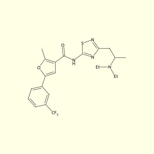 CCN(CC)C(C)Cc1nsc(NC(=O)c2cc(-c3cccc(C(F)(F)F)c3)oc2C)n1